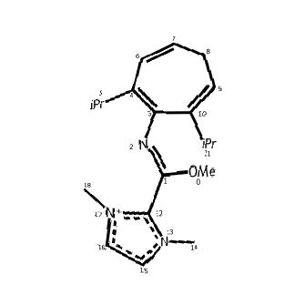 CO/C(=N\C1=C(C(C)C)C=CCC=C1C(C)C)c1n(C)cc[n+]1C